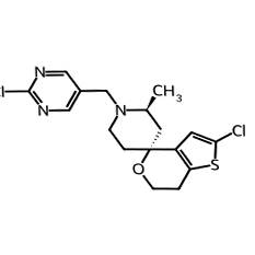 C[C@H]1C[C@@]2(CCN1Cc1cnc(Cl)nc1)OCCc1sc(Cl)cc12